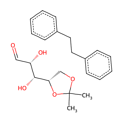 CC1(C)OC[C@@H]([C@H](O)[C@@H](O)C=O)O1.c1ccc(CCc2ccccc2)cc1